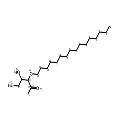 CCCCCCCCCCCCCCCCOC(C(C)=O)C(O)CO